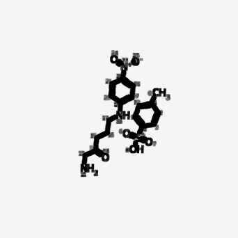 Cc1ccc(S(=O)(=O)O)cc1.NCC(=O)CCCNc1ccc([N+](=O)[O-])cc1